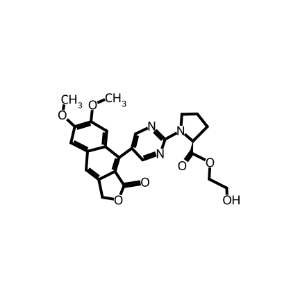 COc1cc2cc3c(c(-c4cnc(N5CCC[C@H]5C(=O)OCCO)nc4)c2cc1OC)C(=O)OC3